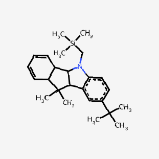 CC(C)(C)c1ccc2c(c1)C1C(C3C=CC=CC3C1(C)C)N2C[Si](C)(C)C